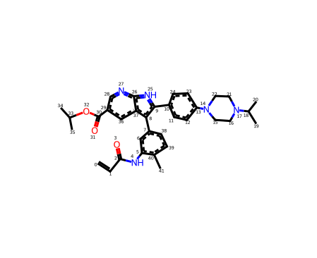 C=CC(=O)Nc1cc(-c2c(-c3ccc(N4CCN(C(C)C)CC4)cc3)[nH]c3ncc(C(=O)OC(C)C)cc23)ccc1C